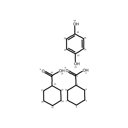 O=C(O)C1CCCCC1.O=C(O)C1CCCCC1.Oc1ccc(O)cc1